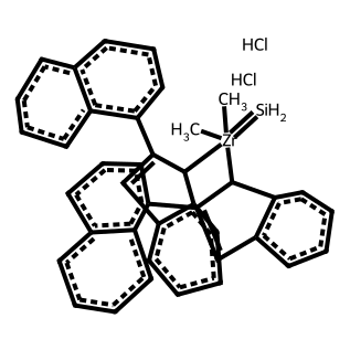 Cl.Cl.[CH3][Zr]([CH3])(=[SiH2])([CH]1C(c2cccc3ccccc23)=Cc2ccccc21)[CH]1C(c2cccc3ccccc23)=Cc2ccccc21